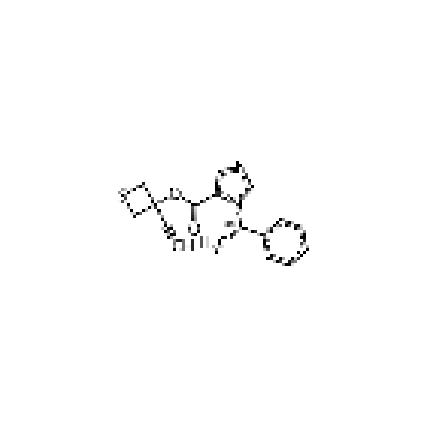 C#CC1(OC(=O)c2cncn2[C@H](C)c2ccccc2)CSC1